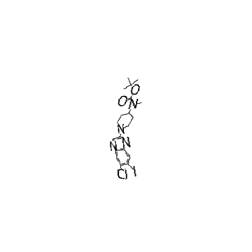 CN(C(=O)OC(C)(C)C)C1CCN(c2cnc3cc(Cl)c(I)cc3n2)CC1